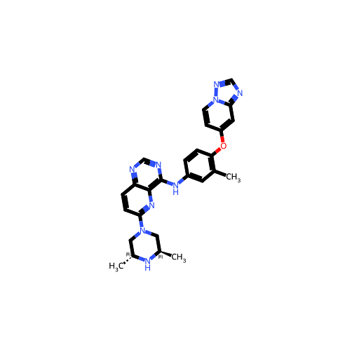 Cc1cc(Nc2ncnc3ccc(N4C[C@@H](C)N[C@H](C)C4)nc23)ccc1Oc1ccn2ncnc2c1